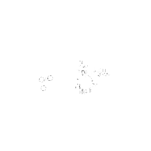 CC[C@H]1OC(=O)[C@H](C)[C@@H](C2C[C@@](C)(OC)[C@@H](O)[C@H](C)O2)[C@H](C)[C@@H](O[C@@H]2O[C@H](C)C[C@H](N(C)C)[C@H]2O)[C@](C)(O)C[C@@H](C)CN(C(=O)CCCCCCCCCC[PH](c2cc(C)cc(C)c2)(c2cc(C)cc(C)c2)c2cc(C)cc(C)c2)[C@H](C)[C@@H](O)[C@]1(C)O